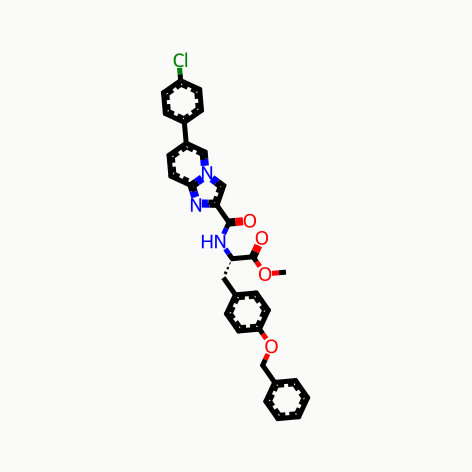 COC(=O)[C@H](Cc1ccc(OCc2ccccc2)cc1)NC(=O)c1cn2cc(-c3ccc(Cl)cc3)ccc2n1